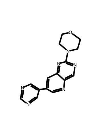 c1ncc(-c2cnc3cnc(N4CCOCC4)nc3c2)cn1